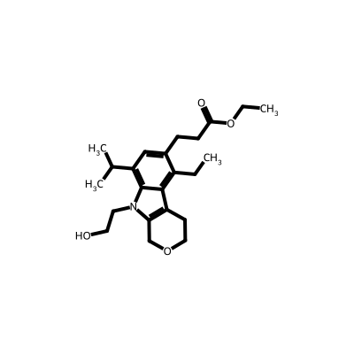 CCOC(=O)CCc1cc(C(C)C)c2c(c1CC)c1c(n2CCO)COCC1